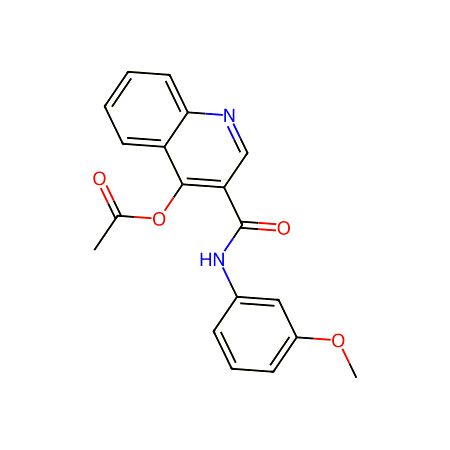 COc1cccc(NC(=O)c2cnc3ccccc3c2OC(C)=O)c1